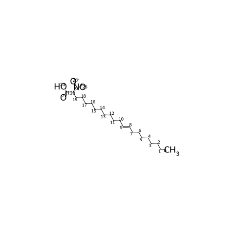 CCCCCCCCC=CCCCCCCCCCCC(C(=O)O)[N+](=O)[O-]